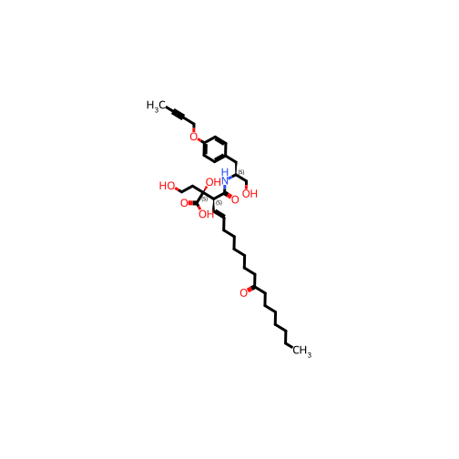 CC#CCOc1ccc(C[C@@H](CO)NC(=O)[C@@H](C=CCCCCCCC(=O)CCCCCCC)[C@@](O)(CCO)C(=O)O)cc1